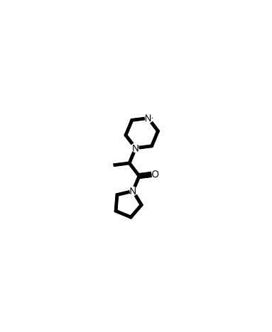 CC(C(=O)N1CCCC1)N1CC[N]CC1